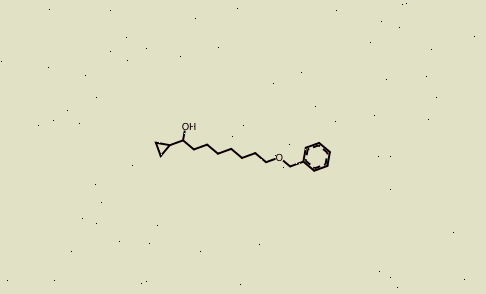 OC(CCCCCCCOCc1ccccc1)C1CC1